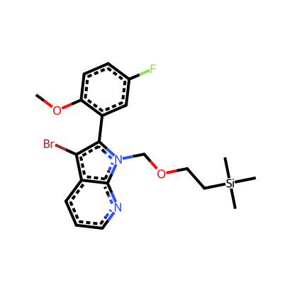 COc1ccc(F)cc1-c1c(Br)c2cccnc2n1COCC[Si](C)(C)C